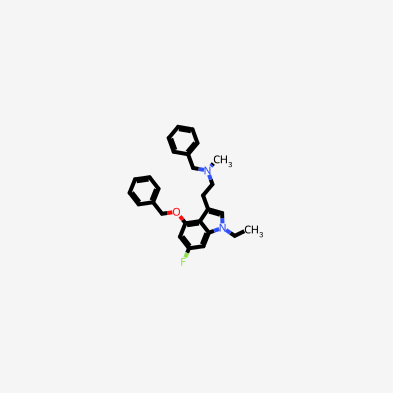 CCn1cc(CCN(C)Cc2ccccc2)c2c(OCc3ccccc3)cc(F)cc21